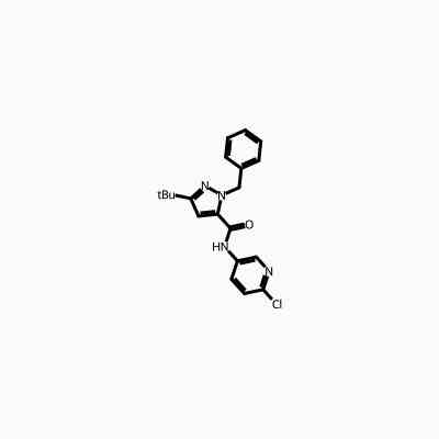 CC(C)(C)c1cc(C(=O)Nc2ccc(Cl)nc2)n(Cc2ccccc2)n1